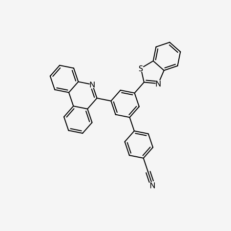 N#Cc1ccc(-c2cc(-c3nc4ccccc4s3)cc(-c3nc4ccccc4c4ccccc34)c2)cc1